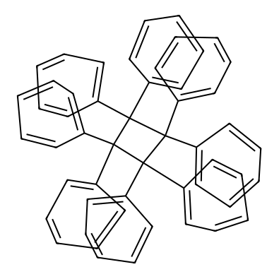 c1ccc(C2(c3ccccc3)C(c3ccccc3)(c3ccccc3)C(c3ccccc3)(c3ccccc3)C2(c2ccccc2)c2ccccc2)cc1